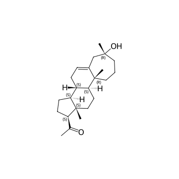 CC(=O)[C@H]1CC[C@H]2[C@@H]3CC=C4C[C@](C)(O)CCC[C@]4(C)[C@H]3CC[C@]12C